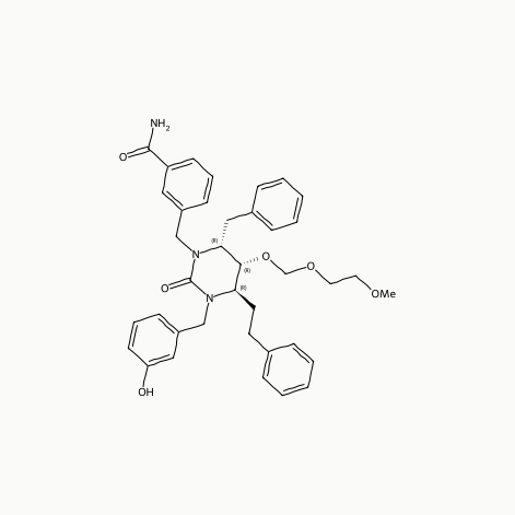 COCCOCO[C@@H]1[C@@H](CCc2ccccc2)N(Cc2cccc(O)c2)C(=O)N(Cc2cccc(C(N)=O)c2)[C@@H]1Cc1ccccc1